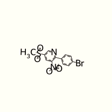 CS(=O)(=O)c1cnc(-c2ccc(Br)cc2)c([N+](=O)[O-])c1